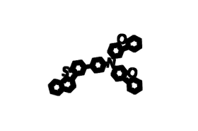 c1ccc2c(c1)ccc1c3cc(-c4ccc(N(c5ccc6c(c5)oc5ccccc56)c5ccc6oc7ccccc7c6c5)cc4)ccc3sc21